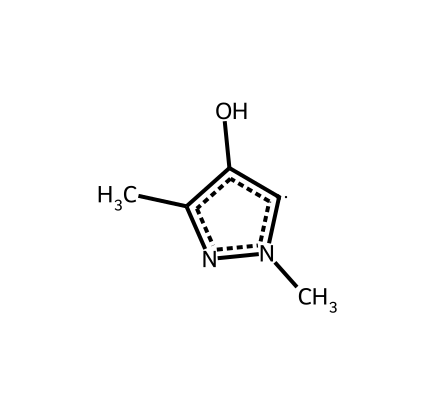 Cc1nn(C)[c]c1O